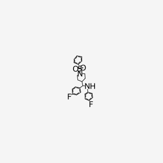 O=S(=O)(c1ccccc1)N1CCC(C(Nc2ccc(F)cc2)c2ccc(F)cc2)CC1